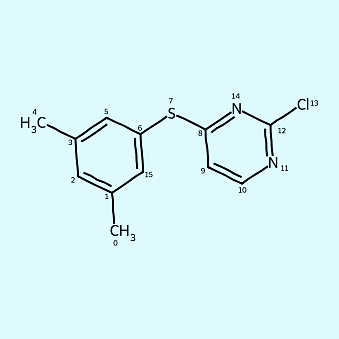 Cc1cc(C)cc(Sc2ccnc(Cl)n2)c1